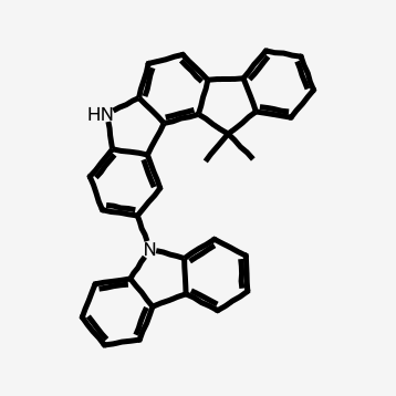 CC1(C)c2ccccc2-c2ccc3[nH]c4ccc(-n5c6ccccc6c6ccccc65)cc4c3c21